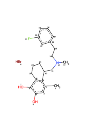 Br.Cc1cc(O)c(O)c2c1C(CN(C)CCc1cccc(F)c1)CCC2